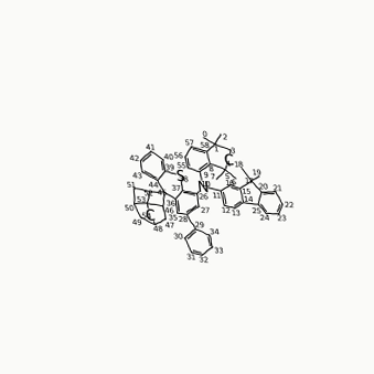 CC1(C)CCC(C)(C)c2c(N(c3ccc4c(c3)C(C)(C)c3ccccc3-4)c3cc(-c4ccccc4)cc4c3Sc3ccccc3C43C4CC5CC6CC3C64C5)cccc21